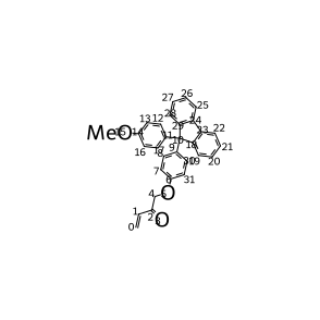 C=CC(=O)COc1ccc(C2(c3ccc(OC)cc3)c3ccccc3-c3ccccc32)cc1